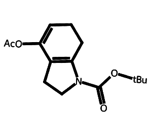 CC(=O)OC1=CCCC2=C1CCN2C(=O)OC(C)(C)C